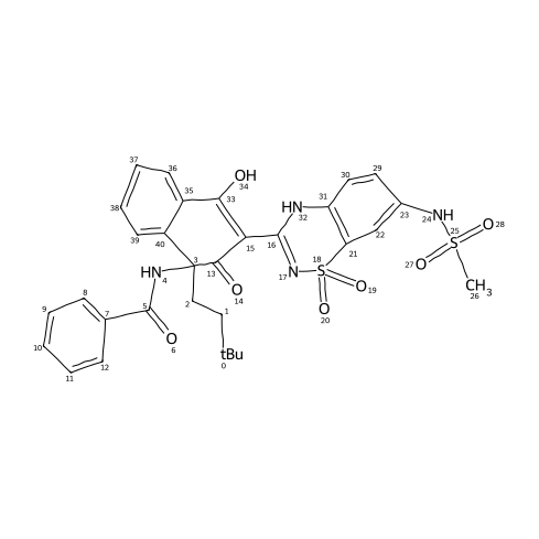 CC(C)(C)CCC1(NC(=O)c2ccccc2)C(=O)C(C2=NS(=O)(=O)c3cc(NS(C)(=O)=O)ccc3N2)=C(O)c2ccccc21